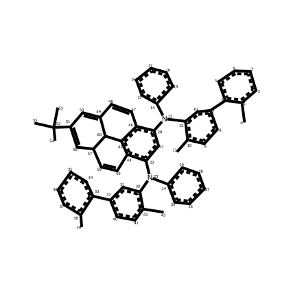 Cc1ccccc1-c1ccc(C)c(N(c2ccccc2)c2cc(N(c3ccccc3)c3cc(-c4ccccc4C)ccc3C)c3c4c2C=CC2=CC(C(C)(C)C)=CC(C=C3)C24)c1